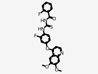 COc1cc2nccc(Oc3ccc(NC(=S)NC(=O)c4ccccc4F)c(F)c3)c2cc1OC